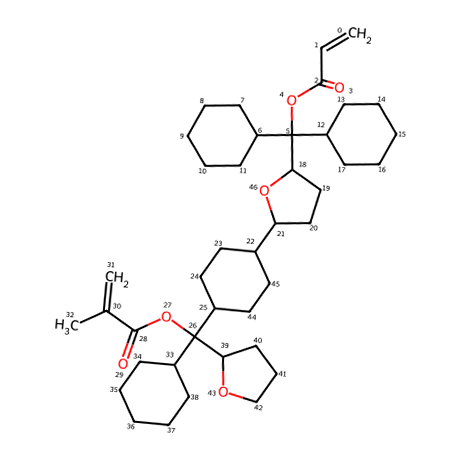 C=CC(=O)OC(C1CCCCC1)(C1CCCCC1)C1CCC(C2CCC(C(OC(=O)C(=C)C)(C3CCCCC3)C3CCCO3)CC2)O1